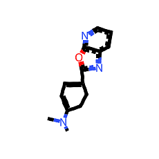 CN(C)C1=CC=C(c2nc3cccnc3o2)CC1